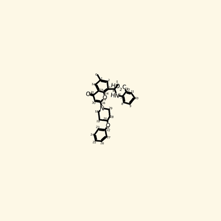 Cc1cc(C(C)Nc2ccccc2C(=O)O)c2oc(N3CCC(Oc4ccccc4)CC3)cc(=O)c2c1